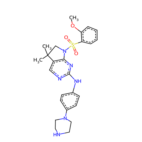 COc1ccccc1S(=O)(=O)N1CC(C)(C)c2cnc(Nc3ccc(N4CCNCC4)cc3)nc21